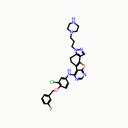 Fc1cccc(COc2ccc(Nc3ncnc4sc5c(c34)CCc3c-5cnn3CCCN3CCNCC3)cc2Cl)c1